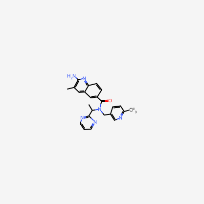 Cc1cc2cc(C(=O)N(Cc3ccc(C(F)(F)F)nc3)C(C)c3ncccn3)ccc2nc1N